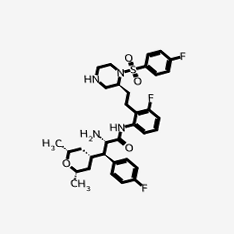 C[C@@H]1C[C@H]([C@H](c2ccc(F)cc2)[C@H](N)C(=O)Nc2cccc(F)c2CC[C@H]2CNCCN2S(=O)(=O)c2ccc(F)cc2)C[C@H](C)O1